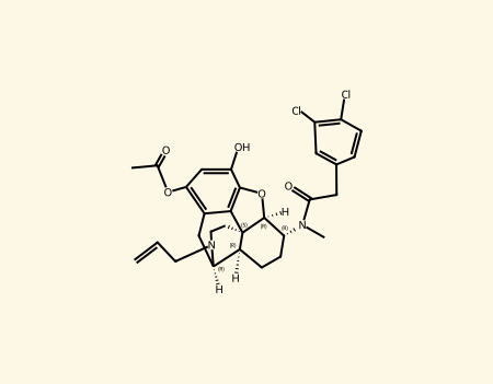 C=CCN1CC[C@]23c4c5c(OC(C)=O)cc(O)c4O[C@H]2[C@H](N(C)C(=O)Cc2ccc(Cl)c(Cl)c2)CC[C@H]3[C@H]1C5